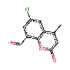 Cc1cc(=O)oc2c(C=O)cc(Cl)cc12